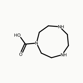 O=C(O)N1CCNCCNCC1